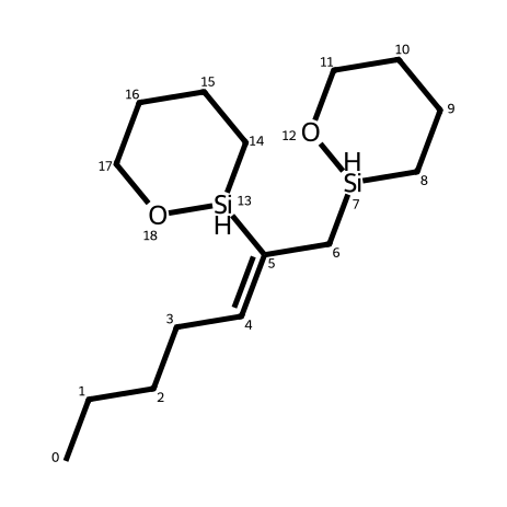 CCCCC=C(C[SiH]1CCCCO1)[SiH]1CCCCO1